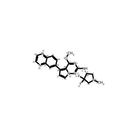 COc1nc(N[C@@H]2CN(C)CC2(F)F)nn2ccc(-c3ccc4nccnc4c3)c12